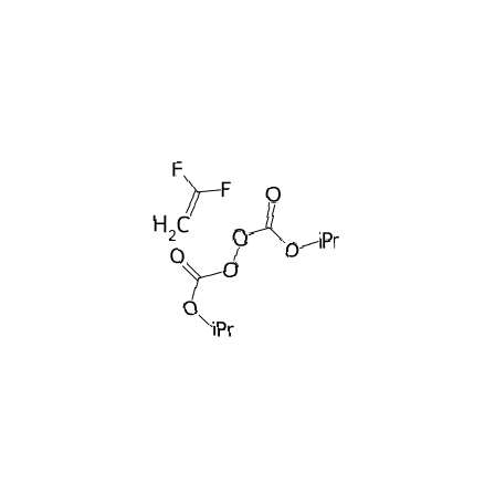 C=C(F)F.CC(C)OC(=O)OOC(=O)OC(C)C